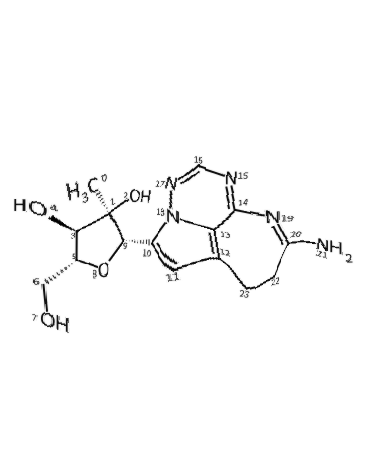 C[C@@]1(O)[C@H](O)[C@@H](CO)O[C@H]1c1cc2c3c(ncnn13)N=C(N)CC2